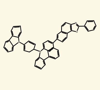 C1=CC(N(c2ccc(-c3ccc4c(ccc5nc(-c6ccccc6)oc54)c3)cc2)c2ccccc2-c2ccccc2)CC=C1n1c2ccccc2c2ccccc21